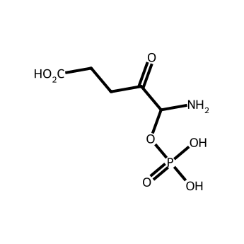 NC(OP(=O)(O)O)C(=O)CCC(=O)O